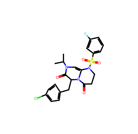 CC(C)N1C=C2N(C(=O)CCN2S(=O)(=O)c2cccc(F)c2)C(Cc2ccc(Cl)cc2)C1=O